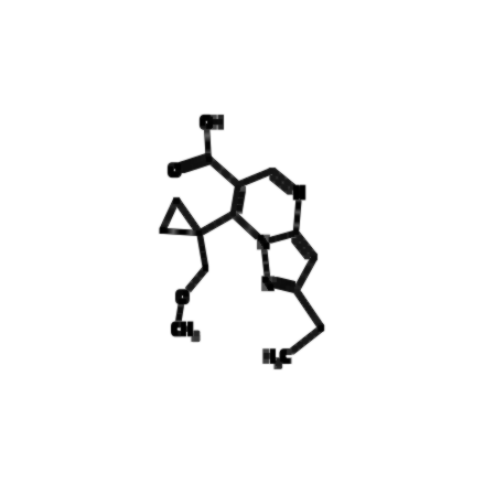 CCc1cc2ncc(C(=O)O)c(C3(COC)CC3)n2n1